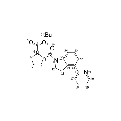 CC(C)(C)OC(=O)N1CCCC1C(=O)N1CCc2c(-c3ccccn3)cccc21